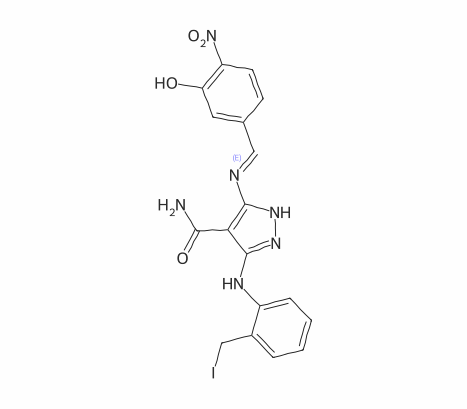 NC(=O)c1c(Nc2ccccc2CI)n[nH]c1/N=C/c1ccc([N+](=O)[O-])c(O)c1